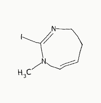 CN1C=CCCN=C1I